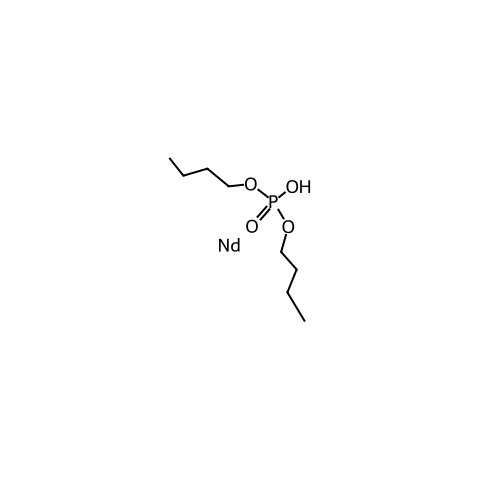 CCCCOP(=O)(O)OCCCC.[Nd]